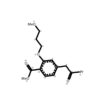 COCCCOc1cc(CC(=O)C(C)C)ccc1C(=O)OC